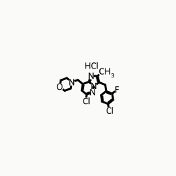 Cc1nc2c(CN3CCOCC3)cc(Cl)nn2c1Cc1ccc(Cl)cc1F.Cl